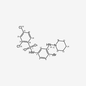 O=S(=O)(Nc1ccc(Br)c(NN2CCCCC2)c1)c1ccc(Cl)cc1Cl